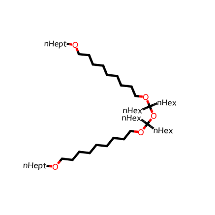 CCCCCCCOCCCCCCCCCOC(CCCCCC)(CCCCCC)OC(CCCCCC)(CCCCCC)OCCCCCCCCCOCCCCCCC